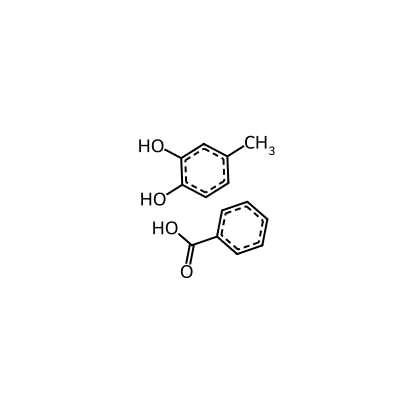 Cc1ccc(O)c(O)c1.O=C(O)c1ccccc1